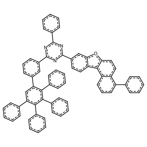 c1ccc(-c2nc(-c3cccc(-c4cc(-c5ccccc5)c(-c5ccccc5)c(-c5ccccc5)c4-c4ccccc4)c3)nc(-c3ccc4c(c3)oc3ccc5c(-c6ccccc6)cccc5c34)n2)cc1